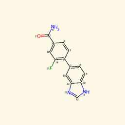 NC(=O)c1ccc(-c2ccc3[nH]cnc3c2)c(F)c1